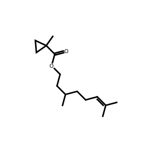 CC(C)=CCCC(C)CCOC(=O)C1(C)CC1